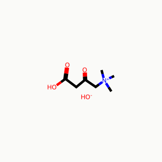 C[N+](C)(C)CC(=O)CC(=O)O.[OH-]